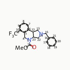 COC(=O)N1Cc2c(cccc2C(F)(F)F)C2CN(Cc3ccccc3)CC21